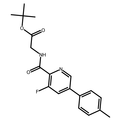 Cc1ccc(-c2cnc(C(=O)NCC(=O)OC(C)(C)C)c(F)c2)cc1